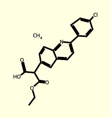 C.CCOC(=O)C(C(=O)O)c1ccc2nc(-c3ccc(Cl)cc3)ccc2c1